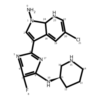 NN1C=C(c2ncc(F)c(N[C@@H]3CCCNC3)n2)C2=CC(Cl)=CNC21